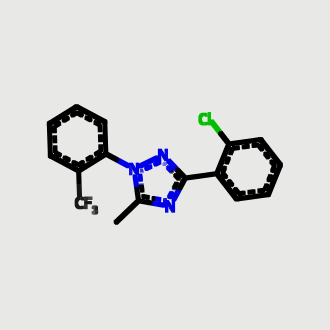 Cc1nc(-c2ccccc2Cl)nn1-c1ccccc1C(F)(F)F